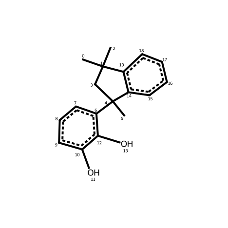 CC1(C)CC(C)(c2cccc(O)c2O)c2ccccc21